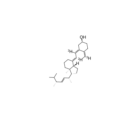 [2H]C([2H])=C1CC[C@H](O)C/C1=C([2H])/C=C1\CCC[C@]2(C)[C@@H]([C@H](C)/C=C/[C@H](C)C(C)C)CC[C@@H]12